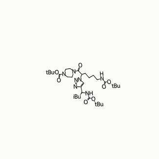 CC[C@H](C)C(NC(=O)OC(C)(C)C)c1cn(C(CCCCNC(=O)OC(C)(C)C)C(=O)N2CCN(C(=O)OC(C)(C)C)CC2)nn1